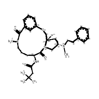 CN1CCC[C@H](NC(=O)CC(C)(C)C)C(=O)N2C[C@@H](N(C)CCc3ccccc3)C[C@H]2COc2cccc(c2)C1=O